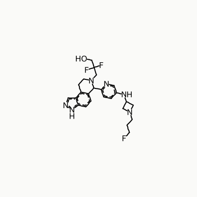 OCC(F)(F)CN1CCc2c(ccc3[nH]ncc23)C1c1ccc(NC2CN(CCCF)C2)cn1